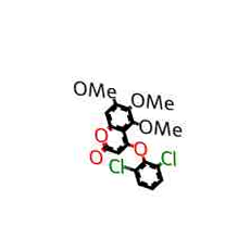 COc1cc2oc(=O)cc(Oc3c(Cl)cccc3Cl)c2c(OC)c1OC